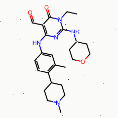 CCn1c(NC2CCOCC2)nc(Nc2ccc(C3CCN(C)CC3)c(C)c2)c(C=O)c1=O